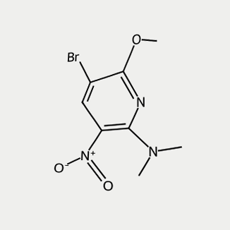 COc1nc(N(C)C)c([N+](=O)[O-])cc1Br